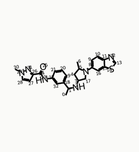 CC(NC1CC(C)N(c2ccc3ncsc3c2)C1)c1cccc(NC(=O)c2ccn(C)n2)c1